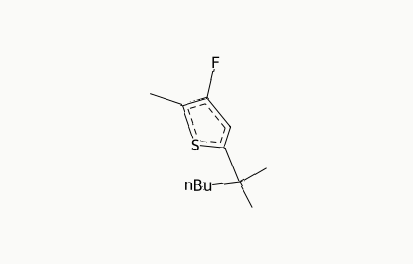 CCCCC(C)(C)c1cc(F)c(C)s1